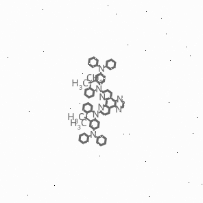 CC1(C)c2ccccc2N(c2ccc3c4nccnc4c4ccc(N5c6ccccc6C(C)(C)c6cc(N(c7ccccc7)c7ccccc7)ccc65)nc4c3n2)c2ccc(N(c3ccccc3)c3ccccc3)cc21